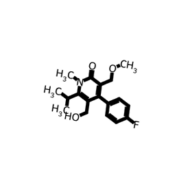 COCc1c(-c2ccc(F)cc2)c(CO)c(C(C)C)n(C)c1=O